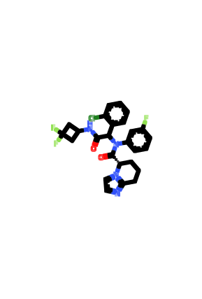 O=C(NC1CC(F)(F)C1)C(c1ccccc1Cl)N(C(=O)[C@@H]1CCCc2nccn21)c1cccc(F)c1